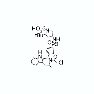 C[C@H]1Cc2c([nH]c3ccccc23)[C@@H](c2ccc(S(=O)(=O)NC3CCN(C(=O)O)C(C(C)(C)C)C3)cc2)N1C(=O)CCl